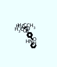 CC1(C)OB(c2ccc(C(=O)Nc3ccccn3)cc2)OC1(C)C